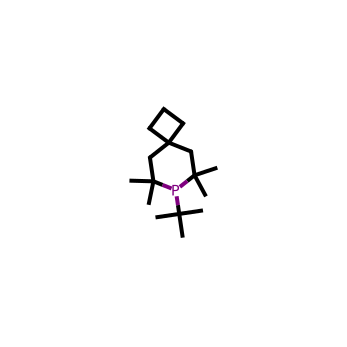 CC(C)(C)P1C(C)(C)CC2(CCC2)CC1(C)C